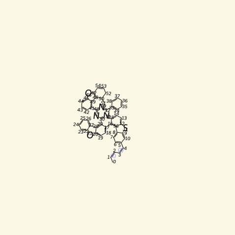 C/C=C\C=C/c1ccc2c(c1)sc1cccc(-c3ccc4oc5ccccc5c4c3-c3nc(-c4ccccc4)nc(-c4cccc5oc6c(c45)C(C)CC=C6)n3)c12